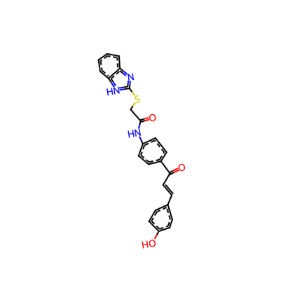 O=C(CSc1nc2ccccc2[nH]1)Nc1ccc(C(=O)/C=C/c2ccc(O)cc2)cc1